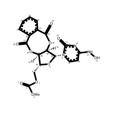 COC(=O)OC[C@H]1O[C@@H](n2ccc(NO)nc2=O)[C@@H]2OC(=O)c3ccccc3C(=O)O[C@@H]21